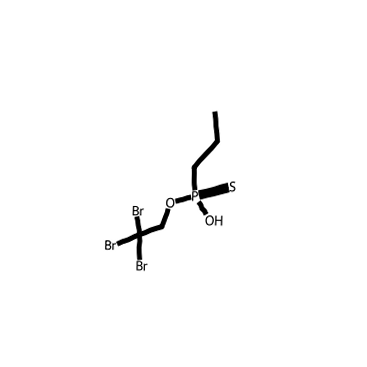 CCCP(O)(=S)OCC(Br)(Br)Br